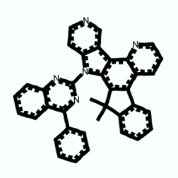 CC1(C)c2ccccc2-c2c1c1c(c3cnccc3n1-c1nc(-c3ccccc3)c3ccccc3n1)c1ncccc21